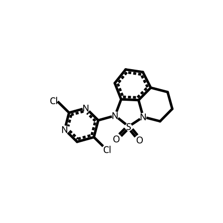 O=S1(=O)N2CCCc3cccc(c32)N1c1nc(Cl)ncc1Cl